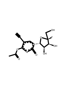 C#Cc1cn([C@@H]2O[C@](F)(CO)[C@@H](O)[C@H]2O)c(=O)nc1OC(C)=O